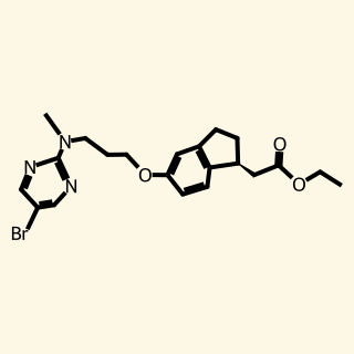 CCOC(=O)C[C@@H]1CCc2cc(OCCCN(C)c3ncc(Br)cn3)ccc21